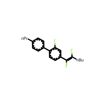 CCCC/C(F)=C(\F)c1ccc(-c2ccc(CCC)cc2)c(F)c1